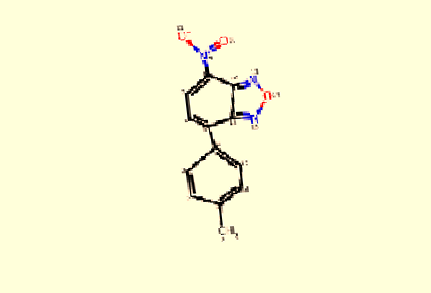 Cc1ccc(-c2ccc([N+](=O)[O-])c3nonc23)cc1